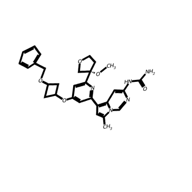 CO[C@@]1(c2cc(OC3CC(OCc4ccccc4)C3)cc(-c3cc(C)n4cnc(NC(N)=O)cc34)n2)CCOC1